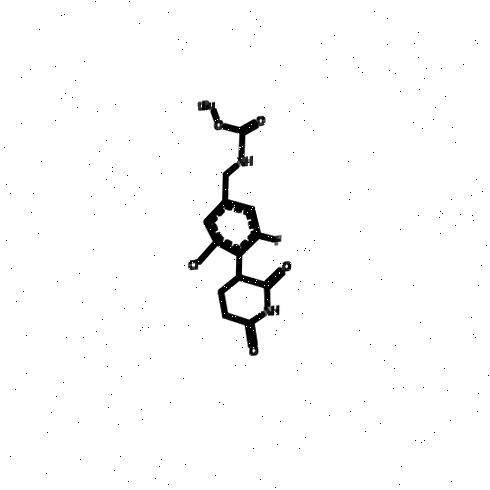 CC(C)(C)OC(=O)NCc1cc(F)c(C2CCC(=O)NC2=O)c(Cl)c1